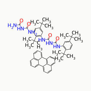 CC(C)(C)c1ccc(C(C)(C)C)c(NC(=O)NC(=O)Nc2cc(C(C)(C)C)ccc2C(C)(C)C)c1.NC(=O)NC(N)=O.c1cc2cccc3c4cccc5cccc(c(c1)c23)c54